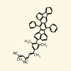 C\C(C#N)=C/C(C#N)=C\C=C(/C)c1cc(C)c(-c2ccc3c4c(-c5ccccc5)c5c(cc6c7ccccc7c7cccc5c76)c(-c5ccccc5)c4c4cccc2c43)c(C)c1